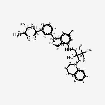 Cc1cc(NCC(O)(CN2CCCc3ccccc32)C(F)(F)F)c2cnn(-c3cccc(C(=O)N[C@@H](C)C(N)=O)c3)c2c1